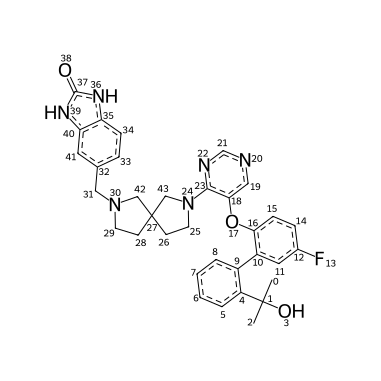 CC(C)(O)c1ccccc1-c1cc(F)ccc1Oc1cncnc1N1CCC2(CCN(Cc3ccc4[nH]c(=O)[nH]c4c3)C2)C1